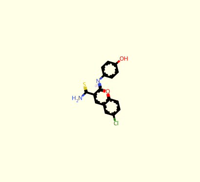 NC(=S)c1cc2cc(Cl)ccc2o/c1=N\c1ccc(O)cc1